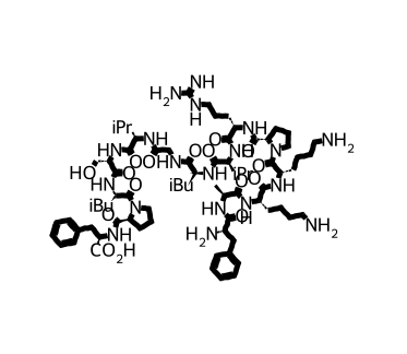 CC[C@H](C)[C@H](NC(=O)[C@@H](NC(=O)[C@H](CCCNC(=N)N)NC(=O)[C@@H]1CCCN1C(=O)[C@H](CCCCN)NC(=O)[C@H](CCCCN)NC(=O)[C@H](C)NC(=O)[C@@H](N)Cc1ccccc1)C(C)C)C(=O)NCC(=O)N[C@H](C(=O)N[C@@H](CO)C(=O)N[C@H](C(=O)N1CCC[C@H]1C(=O)N[C@@H](Cc1ccccc1)C(=O)O)[C@@H](C)CC)C(C)C